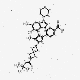 Cc1cc2c(cnn2C2CCCCO2)c(-c2c(-c3ccc(C(=O)O)cc3)nn(C3CC4(C3)CN(C(=O)OC(C)(C)C)C4)c2C)c1Cl